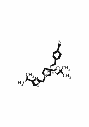 CC(C)c1csc(CN2CC[C@@](CCc3ccc(C#N)cc3)([C@H]3CC(C)(C)O3)C2)n1